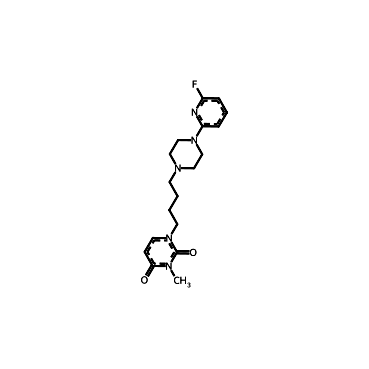 Cn1c(=O)ccn(CCCCN2CCN(c3cccc(F)n3)CC2)c1=O